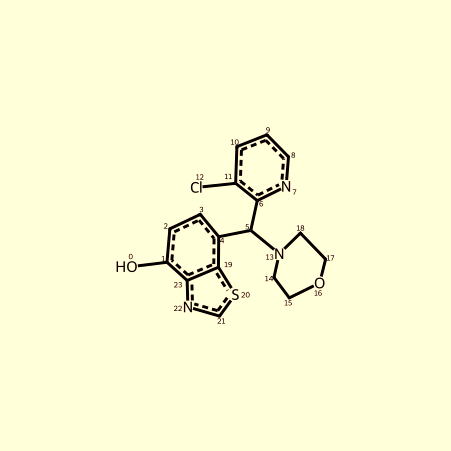 Oc1ccc(C(c2ncccc2Cl)N2CCOCC2)c2scnc12